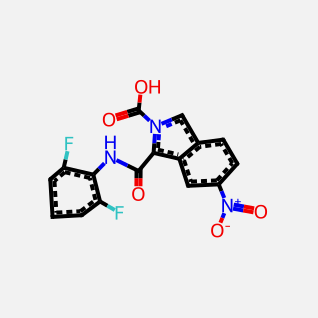 O=C(Nc1c(F)cccc1F)c1c2cc([N+](=O)[O-])ccc2cn1C(=O)O